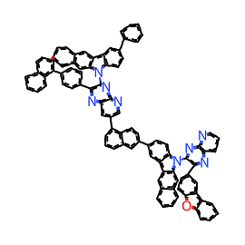 c1ccc(-c2ccc3c(c2)c2cc4ccccc4cc2n3-c2nc3ncc(-c4cccc5cc(-c6ccc7c(c6)c6cc8ccccc8cc6n7-c6nc7ncccc7nc6-c6ccc7oc8ccccc8c7c6)ccc45)cc3nc2-c2ccc(-c3cccc4ccccc34)cc2)cc1